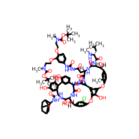 CN[C@H](CC(C)C)C(=O)N[C@H]1C(=O)N[C@@H](CC(=O)NC(=O)Nc2ccc(OCCN(C)C(=O)OC(C)(C)C)c(OCCN(C)C(=O)OC(C)(C)C)c2)C(=O)N[C@H]2C(=O)N[C@H]3C(=O)N[C@H](C(=O)N[C@H](C(=O)NC4C5CC6CC(C5)CC4C6)c4cc(O)cc(O)c4-c4cc3ccc4O)[C@H](O)c3ccc(c(Cl)c3)Oc3cc2cc(c3O)Oc2ccc(cc2C)[C@H]1O